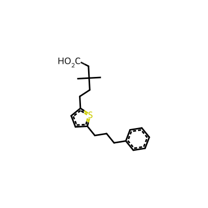 CC(C)(CCc1ccc(CCCc2ccccc2)s1)CC(=O)O